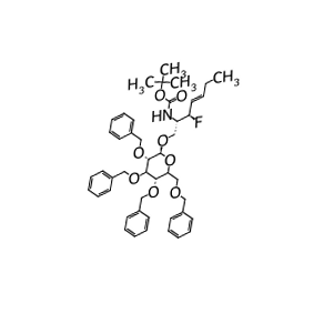 CC/C=C/[C@@H](F)[C@H](CO[C@H]1OC(COCc2ccccc2)[C@H](OCc2ccccc2)C(OCc2ccccc2)[C@@H]1OCc1ccccc1)NC(=O)OC(C)(C)C